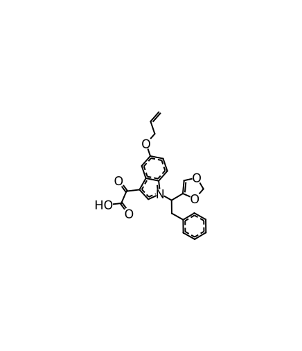 C=CCOc1ccc2c(c1)c(C(=O)C(=O)O)cn2C(Cc1ccccc1)C1=COCO1